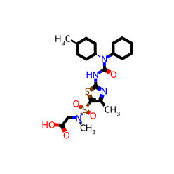 Cc1nc(NC(=O)N(C2CCCCC2)[C@H]2CC[C@H](C)CC2)sc1S(=O)(=O)N(C)CC(=O)O